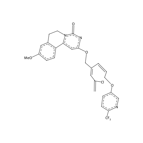 C=C(Cl)/C=C(\C=C/COc1ccc(C(F)(F)F)nc1)COc1cc2n(c(=O)n1)CCc1cc(OC)ccc1-2